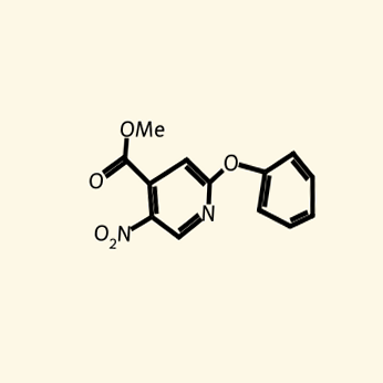 COC(=O)c1cc(Oc2ccccc2)ncc1[N+](=O)[O-]